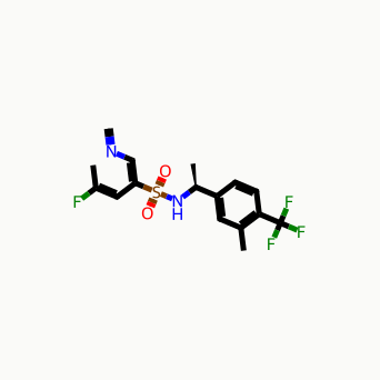 C=N/C=C(\C=C(/C)F)S(=O)(=O)N[C@@H](C)c1ccc(C(F)(F)F)c(C)c1